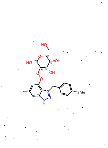 CSc1ccc(Cc2n[nH]c3cc(C)cc(OO[C@@H]4[C@@H](O)[C@H](O)[C@@H](CO)O[C@H]4O)c23)cc1